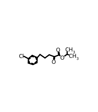 CC(C)OC(=O)C(=O)CCCc1cccc(Cl)c1